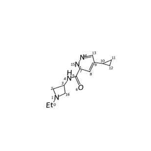 CCN1CC(NC(=O)c2cc(C3CC3)cnn2)C1